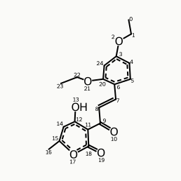 CCOc1ccc(/C=C/C(=O)c2c(O)cc(C)oc2=O)c(OCC)c1